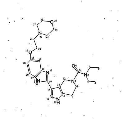 CCN(CC)C(=O)N1CCc2[nH]nc(-c3nc4cc(OCCN5CCOCC5)ccc4[nH]3)c2C1